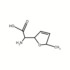 CC1C=CC(C(N)C(=O)O)O1